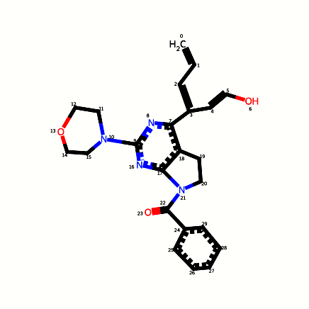 C=C/C=C(\C=C\O)c1nc(N2CCOCC2)nc2c1CCN2C(=O)c1ccccc1